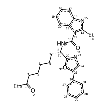 CCC(=O)CCCCC[C@H](NC(=O)n1c(CC)nc2ccccc21)c1ncc(-c2ccccc2)o1